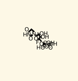 C[C@]1(O)[C@H](n2ccc(=O)[nH]c2=O)O[C@](F)(COP(=O)(O)OP(=O)(O)O)[C@H]1O